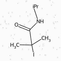 CC(C)NC(=O)C(C)(C)I